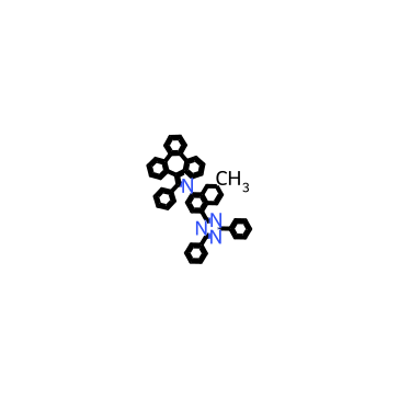 CC1C=Cc2c(-c3nc(-c4ccccc4)nc(-c4ccccc4)n3)ccc(-n3c(-c4ccccc4)c4c5c(cccc53)-c3ccccc3-c3ccccc3-4)c2C1